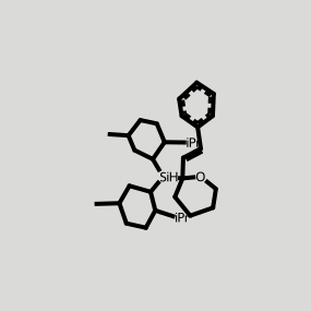 CC1CCC(C(C)C)C([SiH](C2CC(C)CCC2C(C)C)C2(C=Cc3ccccc3)CCCCO2)C1